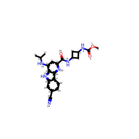 COC(=O)NC1CC(NC(=O)c2cc(NC(C)C)c3[nH]c4cc(C#N)ccc4c3n2)C1